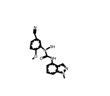 COc1ccc(C#N)cc1N(S)C(=O)Nc1cccc2c1cnn2C